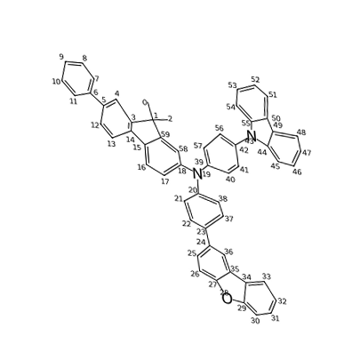 CC1(C)c2cc(-c3ccccc3)ccc2-c2ccc(N(c3ccc(-c4ccc5oc6ccccc6c5c4)cc3)c3ccc(-n4c5ccccc5c5ccccc54)cc3)cc21